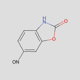 O=Nc1ccc2[nH]c(=O)oc2c1